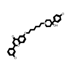 O=c1cc(-c2cccc(Cl)c2)oc2ccc(OCCCCCCN3CCC(O)(c4ccc(Cl)cc4)CC3)cc12